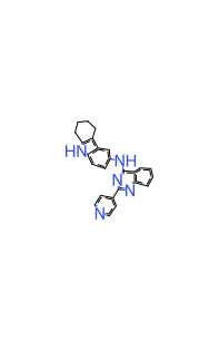 c1ccc2c(Nc3ccc4[nH]c5c(c4c3)CCCC5)nc(-c3ccncc3)nc2c1